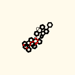 c1ccc(-c2ccc(-c3ccccc3N(c3ccc4c(c3)C3(c5ccccc5O4)c4cc(C5CCCCC5)ccc4-c4ccc(C5CCCCC5)cc43)c3ccc4c(c3)C(c3ccccc3)(c3ccccc3)c3ccccc3-4)cc2)cc1